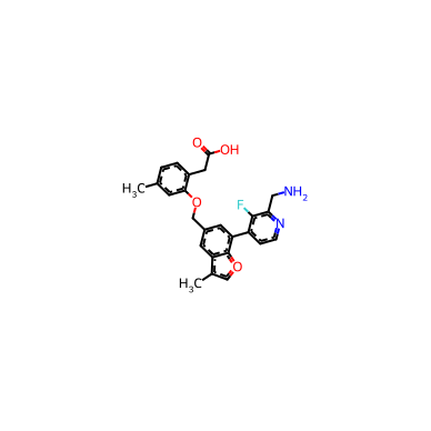 Cc1ccc(CC(=O)O)c(OCc2cc(-c3ccnc(CN)c3F)c3occ(C)c3c2)c1